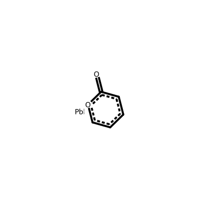 O=c1cccco1.[Pb]